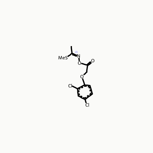 CS/C(C)=N\OC(=O)COc1ccc(Cl)cc1Cl